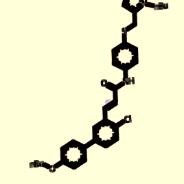 CCCCOc1ccc(-c2ccc(Cl)c(/C=C/C(=O)Nc3ccc(SCc4cncn4CCCC)cc3)c2)cc1